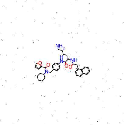 NCCCC[C@H](NC(=O)Cc1cccc2ccccc12)C(=O)Nc1ccc(CN(C(=O)c2ccco2)C2CCCCC2)cc1